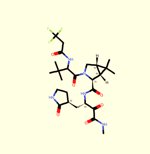 CNC(=O)C(=O)[C@H](C[C@@H]1CCNC1=O)NC(=O)[C@@H]1[C@@H]2[C@H](CN1C(=O)C(NC(=O)CC(F)(F)F)C(C)(C)C)C2(C)C